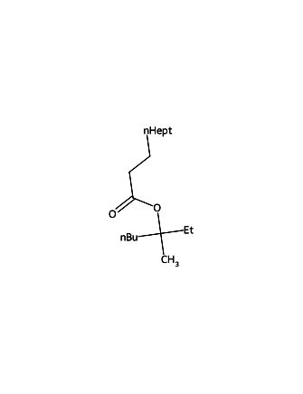 CCCCCCCCCC(=O)OC(C)(CC)CCCC